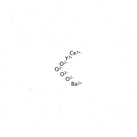 [Ba+2].[Ce+3].[O-2].[O-2].[O-2].[O-2].[Y+3]